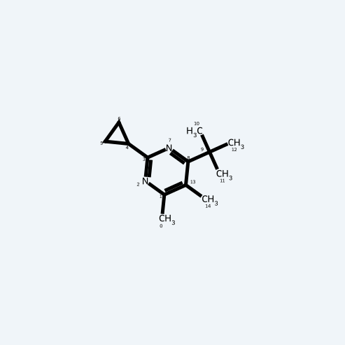 Cc1nc(C2CC2)nc(C(C)(C)C)c1C